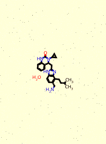 CC(C)CCc1c(CN)ccc2[nH]c(CC3c4ccccc4NC(=O)N3C3CC3)nc12.O